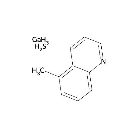 Cc1cccc2ncccc12.S.[GaH3]